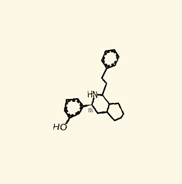 Oc1cccc([C@@H]2CC3CCCCC3C(CCc3ccccc3)N2)c1